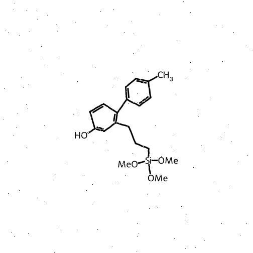 CO[Si](CCCc1cc(O)ccc1-c1ccc(C)cc1)(OC)OC